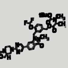 C[C@@H](C(=O)OCc1ccc(OC(F)F)c(Cn2c3cc(-c4cnc(N5CCN6C(=O)OC[C@@H]6C5)nc4)ccc3c(=O)n2C)c1)N(C)C(=O)OC(C)(C)C